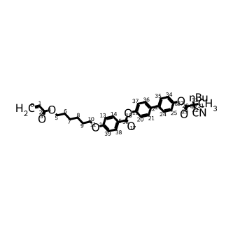 C=CC(=O)OCCCCCCOc1ccc(C(=O)Oc2ccc(-c3ccc(OC(=O)C(C)(C#N)CCCC)cc3)cc2)cc1